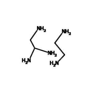 NCC(N)N.NCCN